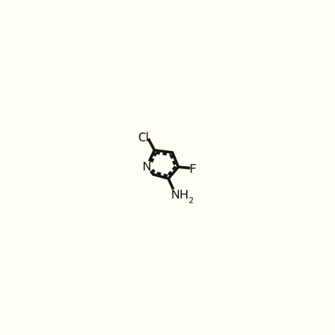 Nc1cnc(Cl)cc1F